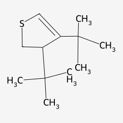 CC(C)(C)C1=CSCC1C(C)(C)C